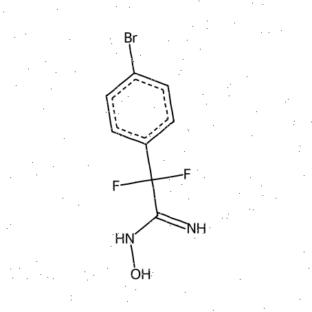 N=C(NO)C(F)(F)c1ccc(Br)cc1